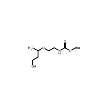 CC(CCO)OCCNC(=O)OC(C)(C)C